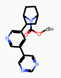 CC(C)(C)OC(=O)N1C2CCC1C(c1cncc(-c3cncnc3)c1)C2